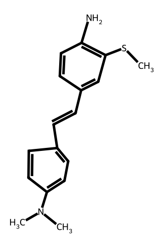 CSc1cc(/C=C/c2ccc(N(C)C)cc2)ccc1N